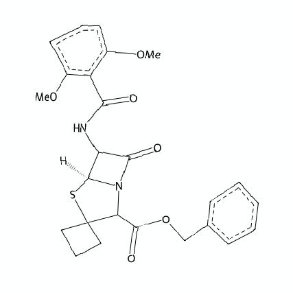 COc1cccc(OC)c1C(=O)NC1C(=O)N2C(C(=O)OCc3ccccc3)C3(CCC3)S[C@@H]12